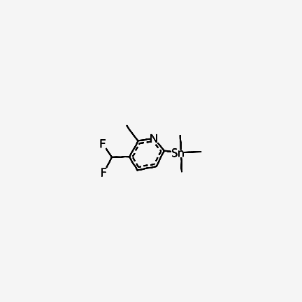 Cc1n[c]([Sn]([CH3])([CH3])[CH3])ccc1C(F)F